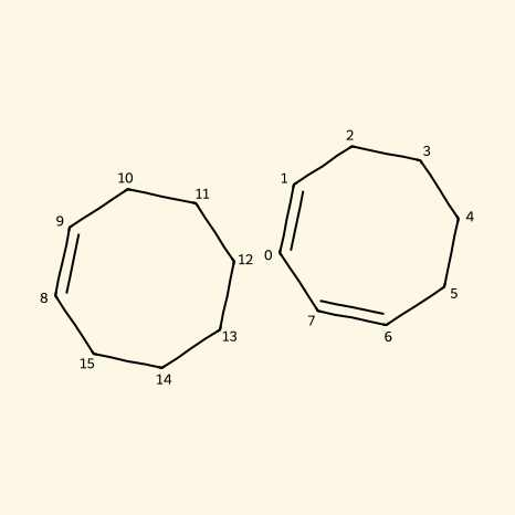 C1=CCCCCC=C1.C1=CCCCCCC1